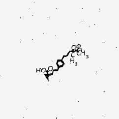 CC(=O)C(C)(C)CCCc1ccc(CCCC2(C(=O)O)CC2)cc1